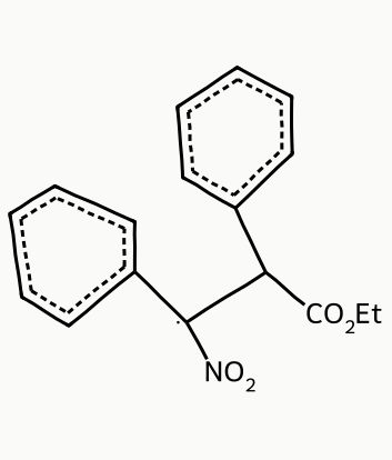 CCOC(=O)C([C](c1ccccc1)[N+](=O)[O-])c1ccccc1